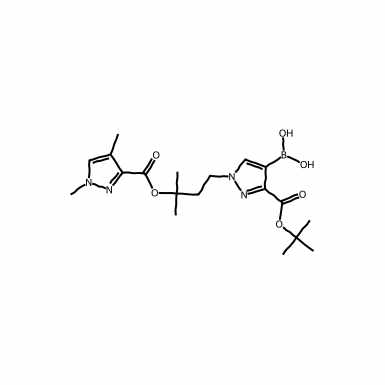 Cc1cn(C)nc1C(=O)OC(C)(C)CCn1cc(B(O)O)c(C(=O)OC(C)(C)C)n1